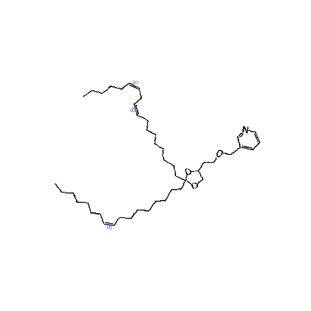 CCCCC/C=C\C/C=C\CCCCCCCCC1(CCCCCCCC/C=C\CCCCCCC)OCC(CCOCc2cccnc2)O1